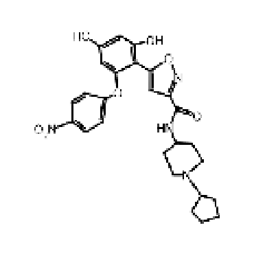 O=C(NC1CCN(C2CCCC2)CC1)c1cc(-c2c(O)cc(O)cc2Oc2ccc([N+](=O)[O-])cc2)on1